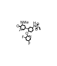 C=CS(=O)(=O)Nc1ccc(Oc2ncc(F)cc2F)c(-c2cc(NC)c(=O)n(C)c2)c1